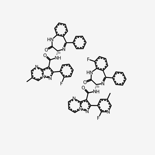 Cc1cnc(F)c(-c2nn3cccnc3c2C(=O)N[C@H]2N=C(c3ccccc3)c3cccc(F)c3NC2=O)c1.Cc1cnc2c(C(=O)N[C@H]3N=C(c4ccccc4)c4ccccc4NC3=O)c(-c3ccccc3F)nn2c1